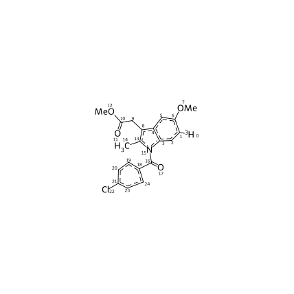 [3H]c1cc2c(cc1OC)c(CC(=O)OC)c(C)n2C(=O)c1ccc(Cl)cc1